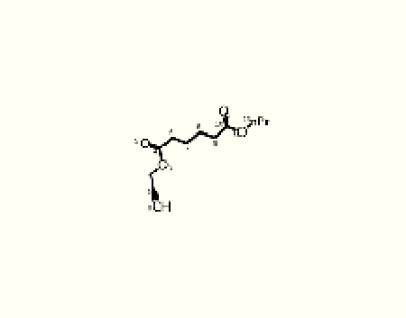 C#CCOC(=O)CCCCC(=O)OCCC